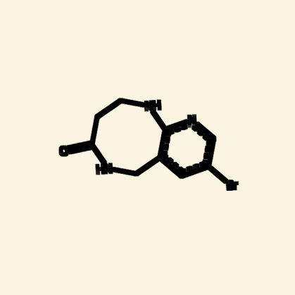 O=C1CCNc2ncc(Br)cc2CN1